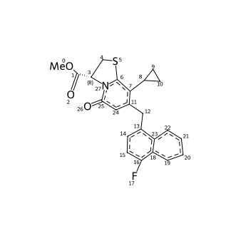 COC(=O)[C@@H]1CSc2c(C3CC3)c(Cc3ccc(F)c4ccccc34)cc(=O)n21